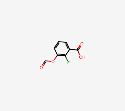 O=COc1cccc(C(=O)O)c1F